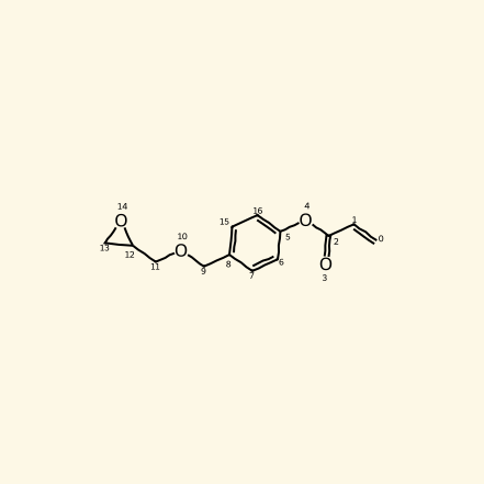 C=CC(=O)Oc1ccc(COCC2CO2)cc1